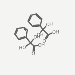 O=C(O)C(O)(O)c1ccccc1.O=C(O)C(O)(O)c1ccccc1